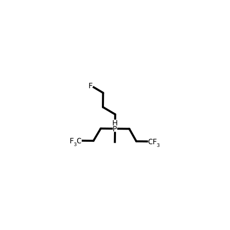 C[PH](CCCF)(CCC(F)(F)F)CCC(F)(F)F